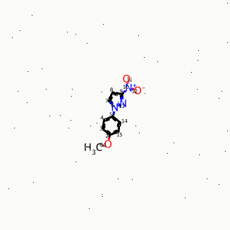 COc1ccc(-n2ccc([N+](=O)[O-])n2)cc1